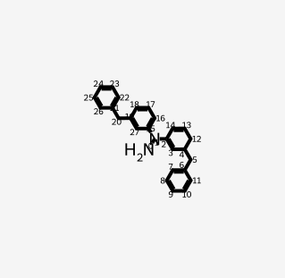 NN(C1=CC(Cc2ccccc2)CC=C1)c1cccc(Cc2ccccc2)c1